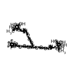 CC(=O)N[C@H]1[C@H](OCCc2cn(CCOCCOCCOCCN(CCOCCOCCOCCC(=O)Oc3c(F)c(F)c(F)c(F)c3F)CCOCCOCCOCCn3cc(CCO[C@@H]4O[C@H](CO)[C@H](O)[C@H](O)[C@H]4NC(C)=O)nn3)nn2)O[C@H](CO)[C@H](O)[C@@H]1O